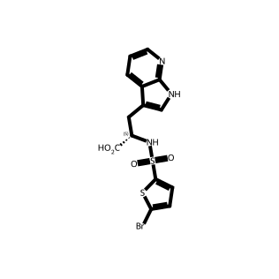 O=C(O)[C@H](Cc1c[nH]c2ncccc12)NS(=O)(=O)c1ccc(Br)s1